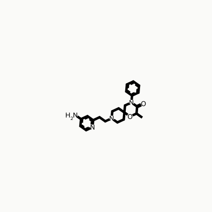 CC1OC2(CCN(CCc3cc(N)ccn3)CC2)CN(c2ccccc2)C1=O